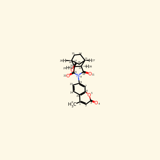 Cc1cc(=O)oc2cc(N3C(=O)[C@@H]4[C@H]5CC[C@H](C(=O)C5)[C@@H]4C3=O)ccc12